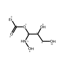 CCC(=O)OC(NO)C(O)CO